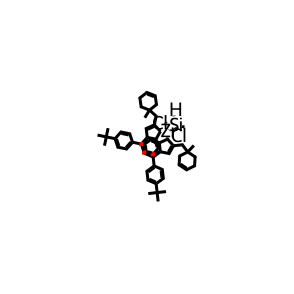 C[SiH](C)[Zr]([Cl])([Cl])([CH]1C(CC2(C)CC=CCC2)=Cc2c(-c3ccc(C(C)(C)C)cc3)cccc21)[CH]1C(CC2(C)CC=CCC2)=Cc2c(-c3ccc(C(C)(C)C)cc3)cccc21